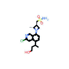 CC(CCO)c1ccc(N2C[C@H](CS(N)(=O)=O)[C@H]2C)c2cnc(Cl)cc12